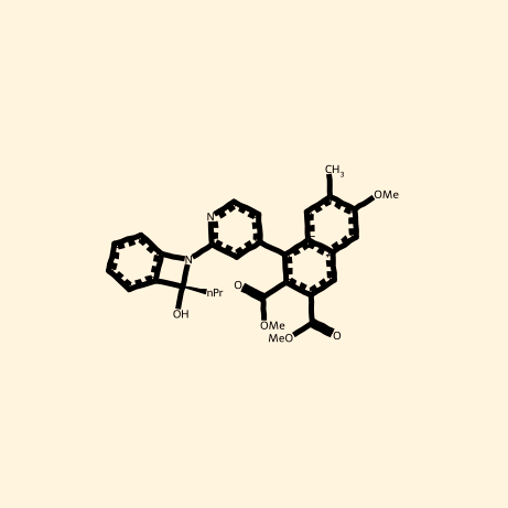 CCC[C@@]1(O)c2ccccc2N1c1cc(-c2c(C(=O)OC)c(C(=O)OC)cc3cc(OC)c(C)cc23)ccn1